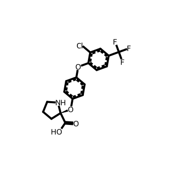 O=C(O)[C@]1(Oc2ccc(Oc3ccc(C(F)(F)F)cc3Cl)cc2)CCCN1